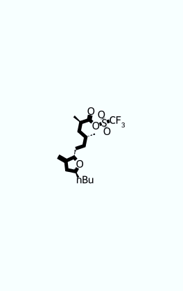 C=C1C[C@H](CCCC)O[C@H]1CC[C@@H](C)C[C@@H](C)C(=O)OS(=O)(=O)C(F)(F)F